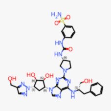 NS(=O)(=O)c1cccc(NC(=O)N[C@@H]2CCN(c3nc(N[C@H](CO)Cc4ccccc4)c4ncn([C@@H]5C[C@H](n6ncc(CO)n6)[C@@H](O)[C@H]5O)c4n3)C2)c1